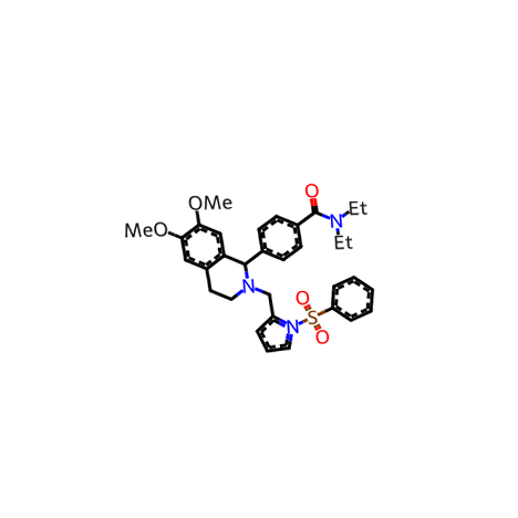 CCN(CC)C(=O)c1ccc(C2c3cc(OC)c(OC)cc3CCN2Cc2cccn2S(=O)(=O)c2ccccc2)cc1